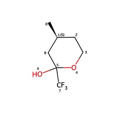 C[C@H]1CCOC(O)(C(F)(F)F)C1